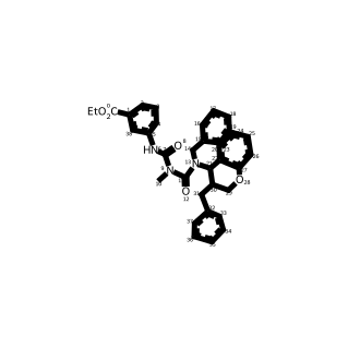 CCOC(=O)c1cccc(NC(=O)N(C)C(=O)N(Cc2ccccc2)C2c3ccccc3OCC2Cc2ccccc2)c1